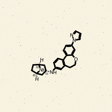 c1cnn(-c2ccc3c(c2)OCCc2cc(N[C@@H]4C[C@H]5CC[C@@H](C4)N5)ccc2-3)c1